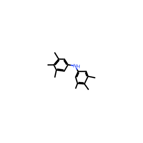 Cc1cc(Nc2cc(C)c(C)c(C)c2)cc(C)c1C